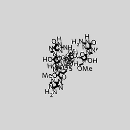 COCC[C@H]1[C@@H](O)[C@H](n2c[n+](C)c3c(=O)[nH]c(N)nc32)O[C@@H]1COP(=O)(O)OP(=O)(O)OP(O)(=S)OCC1O[C@@H](n2cnc3c(N)ncnc32)[C@H](OC)[C@@H]1P(=O)([O-])OC[C@H]1O[C@@H](n2cnc3c(=O)[nH]c(N)nc32)[C@H](O)[C@@H]1O